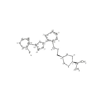 CN(C)[C@H]1CC[C@@H](CCOc2cncnc2-c2cnn(-c3ccccc3F)c2)CC1